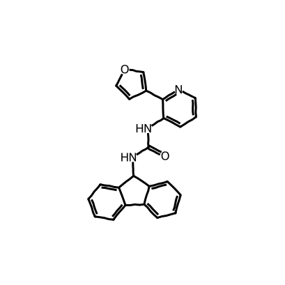 O=C(Nc1cccnc1-c1ccoc1)NC1c2ccccc2-c2ccccc21